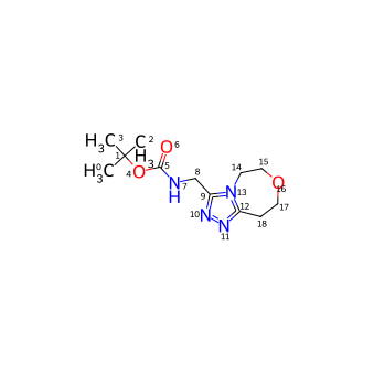 CC(C)(C)OC(=O)NCc1nnc2n1CCOCC2